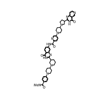 CNC(=O)c1ccc(N2CCC(N3CCCC(c4nc5cc(NC(=O)c6ccc(N7CCC(N8CCC(c9nc%10ccncc%10c(=O)[nH]9)C8)CC7)cn6)ccc5c(=O)[nH]4)C3)CC2)cc1